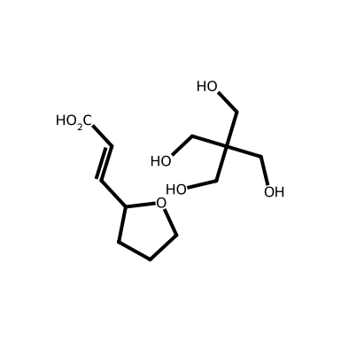 O=C(O)C=CC1CCCO1.OCC(CO)(CO)CO